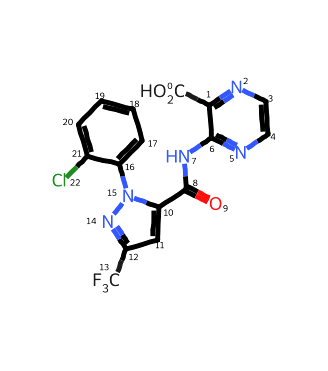 O=C(O)c1nccnc1NC(=O)c1cc(C(F)(F)F)nn1-c1ccccc1Cl